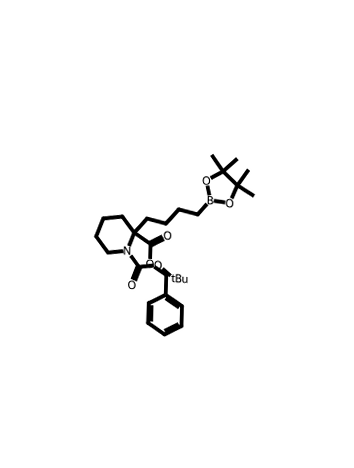 CC(C)(C)OC(=O)N1CCCCC1(CCCCB1OC(C)(C)C(C)(C)O1)C(=O)OCc1ccccc1